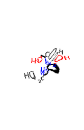 N[C@@H](CO)C(=O)O.N[C@@H](Cc1ccc(O)cc1)C(=O)O